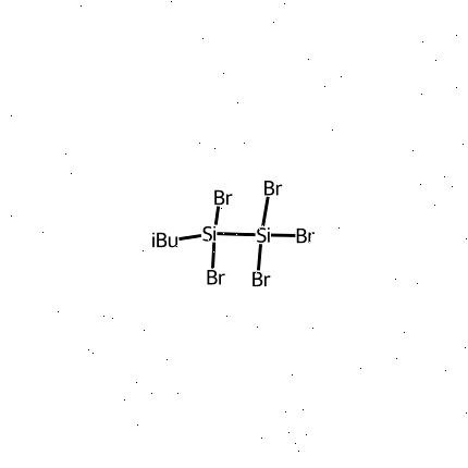 CCC(C)[Si](Br)(Br)[Si](Br)(Br)Br